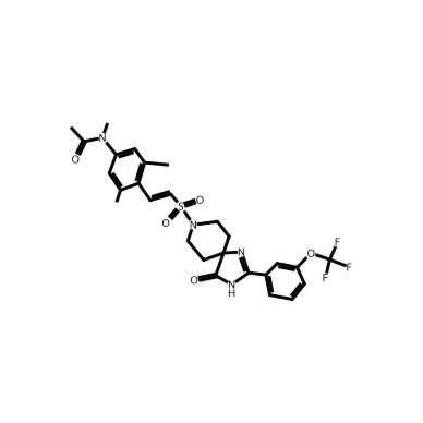 CC(=O)N(C)c1cc(C)c(/C=C/S(=O)(=O)N2CCC3(CC2)N=C(c2cccc(OC(F)(F)F)c2)NC3=O)c(C)c1